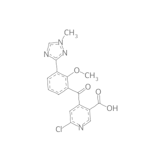 COc1c(C(=O)c2cc(Cl)ncc2C(=O)O)cccc1-c1ncn(C)n1